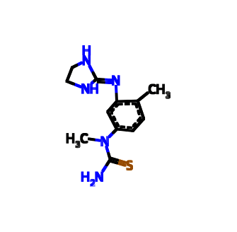 Cc1ccc(N(C)C(N)=S)cc1N=C1NCCN1